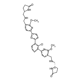 COc1nc(-c2ccc(-c3cccc(-c4ccc(CNC[C@@H]5CCC(=O)N5)c(OC)n4)c3Cl)s2)ccc1CNCC1CCC(=O)N1